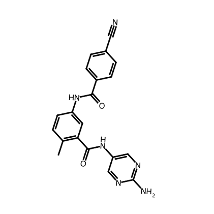 Cc1ccc(NC(=O)c2ccc(C#N)cc2)cc1C(=O)Nc1cnc(N)nc1